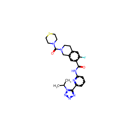 CC(C)n1nnnc1-c1cccc(NC(=O)c2cc3c(cc2F)CCN(C(=O)N2CCSCC2)C3)n1